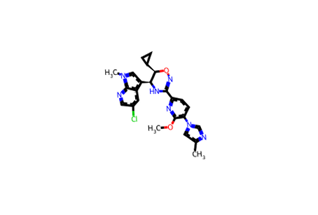 COc1nc(C2=NO[C@H](C3CC3)[C@H](c3cn(C)c4ncc(Cl)cc34)N2)ccc1-n1cnc(C)c1